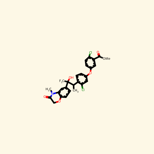 COC(=O)c1cc(Oc2ccc(C(C)C(O)(c3ccc4c(c3)N(C)C(=O)CO4)C(F)(F)F)c(Cl)c2)ccc1Cl